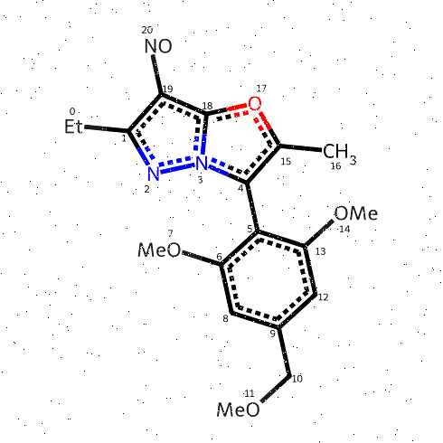 CCc1nn2c(-c3c(OC)cc(COC)cc3OC)c(C)oc2c1N=O